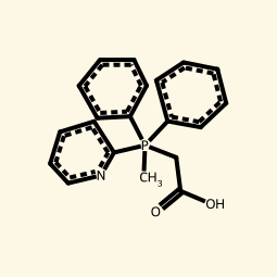 CP(CC(=O)O)(c1ccccc1)(c1ccccc1)c1ccccn1